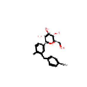 CSc1ccc(Cc2cc([C@@H]3O[C@H](CO)[C@@H](O)[C@H](O)[C@H]3O)ccc2C)cc1